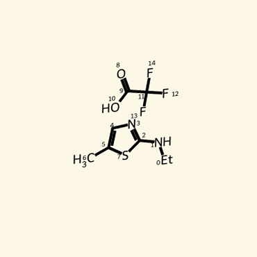 CCNc1ncc(C)s1.O=C(O)C(F)(F)F